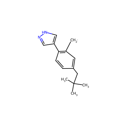 [CH2]c1cc(CC(C)(C)C)ccc1-c1cn[nH]c1